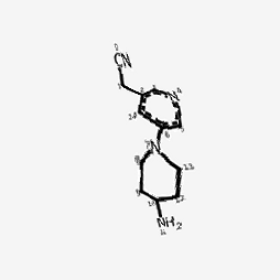 N#CCc1cncc(N2CCC(N)CC2)c1